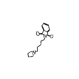 O=C1c2ccccc2C(=O)N1CCCCCN1CCCC1